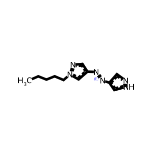 CCCCCn1cc(/N=N/c2cn[nH]c2)cn1